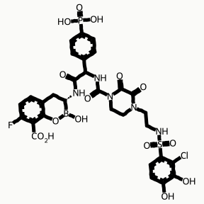 O=C(O)c1c(F)ccc2c1OB(O)[C@@H](NC(=O)C(NC(=O)N1CCN(CCNS(=O)(=O)c3ccc(O)c(O)c3Cl)C(=O)C1=O)c1ccc(P(=O)(O)O)cc1)C2